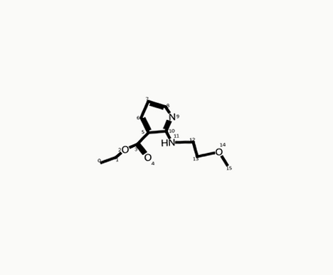 CCOC(=O)c1cccnc1NCCOC